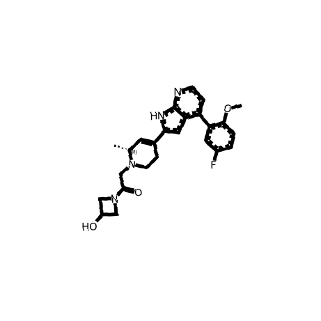 COc1ccc(F)cc1-c1ccnc2[nH]c(C3=C[C@@H](C)N(CC(=O)N4CC(O)C4)CC3)cc12